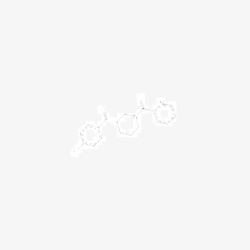 O=C(c1ccc(F)cc1)[C@H]1CCCN(C(=O)c2ccccn2)C1